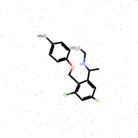 COc1ccc(OCc2c(Cl)cc(F)cc2C(C)NCC(=O)O)cc1